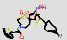 CCc1ccc(-c2ccc(C3(CC(=O)NO)CCN(C(=O)c4cccs4)CCS3(=O)=O)s2)cc1